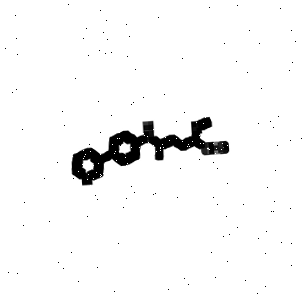 C=N/C(C=O)=C\C=C(/C)Nc1ccc(-c2cccnc2)cc1